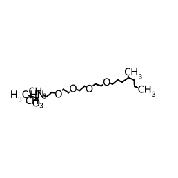 CCCC(C)CCCOCCOCCOCCOCCNC(=O)C(C)(C)C